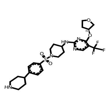 O=S(=O)(c1ccc(C2CCNCC2)cc1)N1CCC(Nc2ncc(C(F)(F)F)c(O[C@H]3CCOC3)n2)CC1